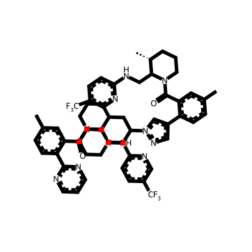 Cc1ccc(-c2cnn(C(CC3CCCN(C(=O)c4cc(C)ccc4-c4ncccn4)[C@@H]3CNc3ccc(C(F)(F)F)cn3)CN3CCOCC3)c2)c(C(=O)N2CCC[C@@H](C)C2CNc2ccc(C(F)(F)F)cn2)c1